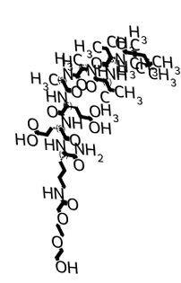 CC(C)[C@H](NC(=O)[C@@H](NC(=O)C(C)(C)CC(C)(C)C)C(C)C)C(=O)N[C@@H](C)C(=O)N[C@@H](C)C(=O)N[C@@H](CCC(=O)O)C(=O)N[C@@H](CCC(=O)O)C(=O)N[C@@H](CCCCNC(=O)COCCOCCO)C(N)=O